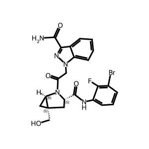 NC(=O)c1nn(CC(=O)N2[C@H](C(=O)Nc3cccc(Br)c3F)C[C@@]3(CO)C[C@@H]23)c2ccccc12